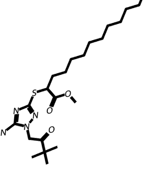 CCCCCCCCCCCCC(Sc1nc(N)n(CC(=O)C(C)(C)C)n1)C(=O)OC